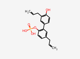 C=CCc1ccc(OP(=O)(O)O)c(-c2ccc(O)c(CC=C)c2)c1